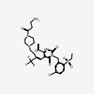 C=C(Cl)c1[nH]c(=O)n(Cc2cc(Cl)ccc2S(=O)(=O)CC)c(=O)c1/C=C(\CCN1CCN(C(=O)CCN)CC1)C(F)(F)F